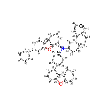 c1ccc(-c2ccc3c(c2)oc2c(N(c4ccc(-c5cccc6oc7ccccc7c56)cc4)c4ccc5ccc6ccccc6c5c4)cccc23)cc1